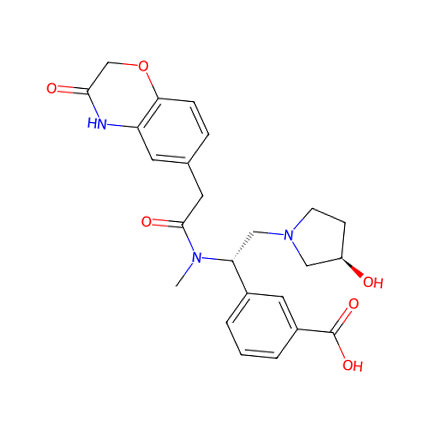 CN(C(=O)Cc1ccc2c(c1)NC(=O)CO2)[C@H](CN1CC[C@@H](O)C1)c1cccc(C(=O)O)c1